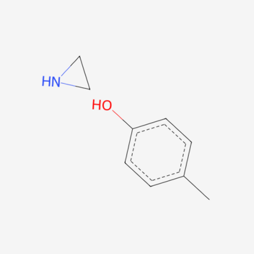 C1CN1.Cc1ccc(O)cc1